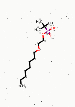 CCCCCCCCOCCOP(=O)(O)C(C)(C)C